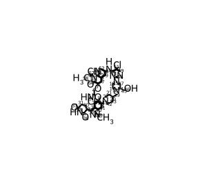 CNC(=O)COc1cc2cc(Nc3nc(N4CCN(CC5CCN(c6ccc7c(C8CCC(=O)NC8=O)nn(C)c7c6)CC5)[C@H](CO)C4)ncc3Cl)cnc2n(C(C)C)c1=O